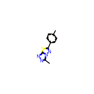 Cc1ccc(-c2nn3c(C)nnc3s2)cc1